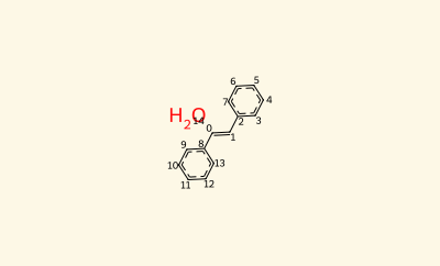 C(=Cc1ccccc1)c1ccccc1.O